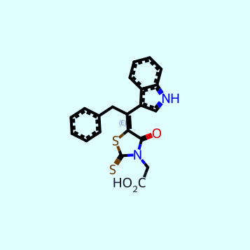 O=C(O)CN1C(=O)/C(=C(/Cc2ccccc2)c2c[nH]c3ccccc23)SC1=S